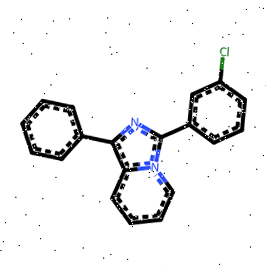 Clc1cccc(-c2nc(-c3ccccc3)c3ccccn23)c1